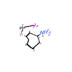 NC1CCCCC1.[I][Pb][I]